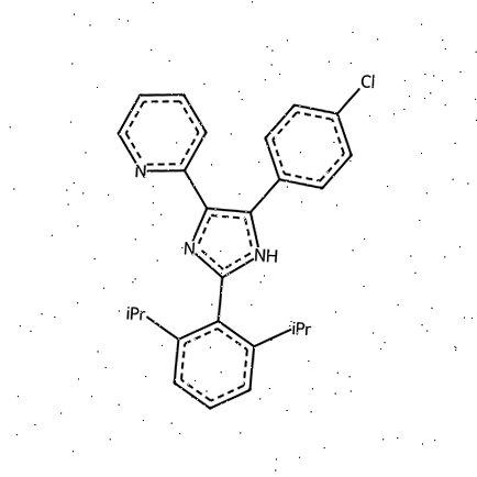 CC(C)c1cccc(C(C)C)c1-c1nc(-c2ccccn2)c(-c2ccc(Cl)cc2)[nH]1